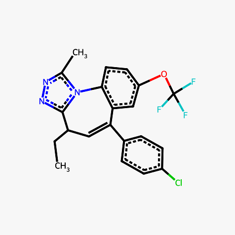 CCC1C=C(c2ccc(Cl)cc2)c2cc(OC(F)(F)F)ccc2-n2c(C)nnc21